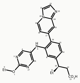 CCOc1ncc(Nc2cc([C@H](CC)CC(=O)O)ccc2-c2ccn3ccnc3c2)cn1